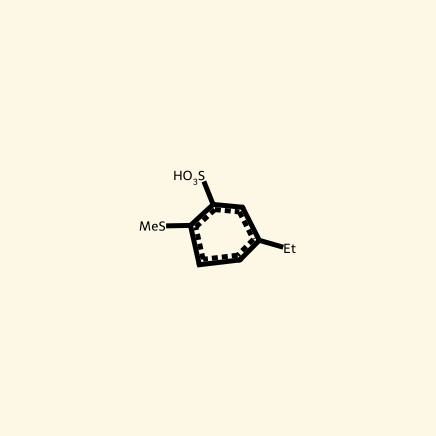 CCc1ccc(SC)c(S(=O)(=O)O)c1